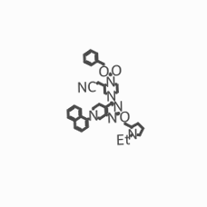 CCN1CCCC1COc1nc2c(c(N3CCN(C(=O)OCc4ccccc4)C(CC#N)C3)n1)CCN(c1cccc3ccccc13)C2